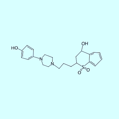 O=S1(=O)c2ccccc2C(O)CC1CCCN1CCN(c2ccc(O)cc2)CC1